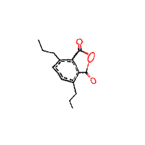 CCCc1ccc(CCC)c2c1C(=O)OC2=O